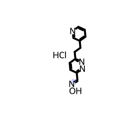 Cl.O/N=C/c1ccc(CCc2cccnc2)nn1